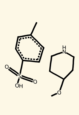 COC1CCNCC1.Cc1ccc(S(=O)(=O)O)cc1